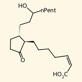 CCCCCC(O)CC[C@H]1CCC(=O)[C@@H]1CCCC/C=C\C(=O)O